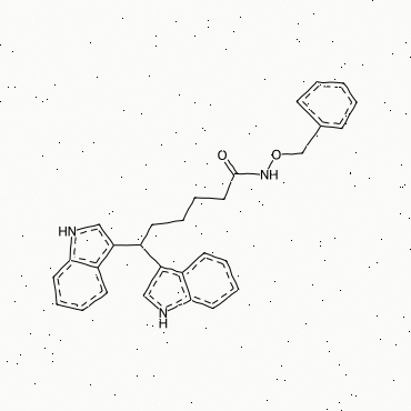 O=C(CCCCC(c1c[nH]c2ccccc12)c1c[nH]c2ccccc12)NOCc1ccccc1